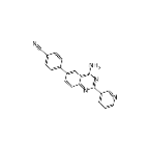 N#Cc1ccc(-c2ccc3nc(-c4cccnc4)nc(N)c3c2)cc1